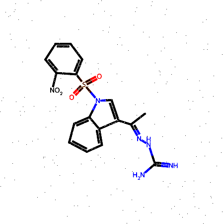 CC(=NNC(=N)N)c1cn(S(=O)(=O)c2ccccc2[N+](=O)[O-])c2ccccc12